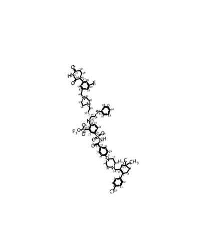 CC1(C)CCC(c2ccc(Cl)cc2)=C(CN2CCN(c3ccc(C(=O)NS(=O)(=O)c4ccc(N[C@H](CCN5CCN(Cc6cc(F)cc(C7CCC(=O)NC7=O)c6)CC5)CSc5ccccc5)c(S(=O)(=O)C(F)(F)F)c4)cc3)CC2)C1